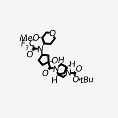 CO[C@@H]1COCC[C@@H]1N(C(=O)C(F)(F)F)[C@@H]1CC[C@](O)(C(=O)N2C[C@@H]3C[C@H]2CN3C(=O)OC(C)(C)C)C1